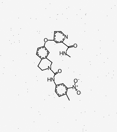 CNC(=O)c1cc(Oc2ccc3c(c2)CN(C(=O)Nc2ccc(C)c([N+](=O)[O-])c2)CC3)ccn1